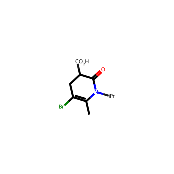 CC1=C(Br)CC(C(=O)O)C(=O)N1C(C)C